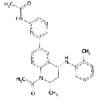 CC(=O)Nc1cccc(-c2ccc3c(c2)[C@H](Nc2ccccc2C)C[C@H](C)N3C(C)=O)c1